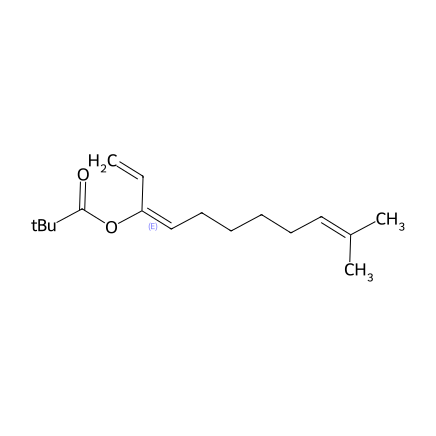 C=C/C(=C\CCCCC=C(C)C)OC(=O)C(C)(C)C